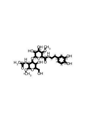 COC1OC(CO)C(O)C(OC2OC(C(=O)NCCc3ccc(O)c(O)c3)C(OC)C(O)C2O)C1NC(C)=O